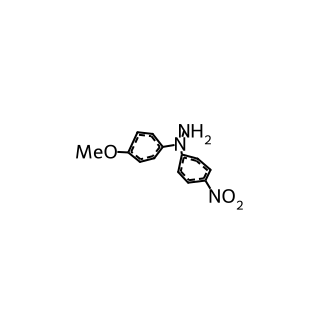 COc1ccc(N(N)c2ccc([N+](=O)[O-])cc2)cc1